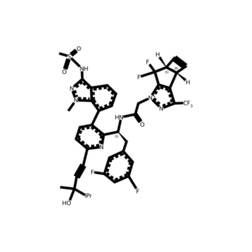 CC(C)C(C)(O)C#Cc1ccc(-c2cccc3c(NS(C)(=O)=O)nn(C)c23)c([C@H](Cc2cc(F)cc(F)c2)NC(=O)Cn2nc(C(F)(F)F)c3c2C(F)(F)[C@@H]2C#C[C@H]32)n1